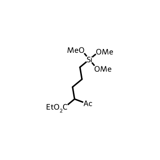 CCOC(=O)C(CCC[Si](OC)(OC)OC)C(C)=O